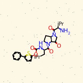 CC(C)CC(NC(=O)Oc1ccc(-c2ccccc2)s1)C(=O)N1CCC2C1C(=O)CN2C(=O)C(N)C(C)C